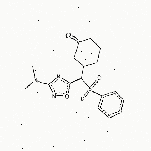 CN(C)c1noc(C(C2CCCC(=O)C2)S(=O)(=O)c2ccccc2)n1